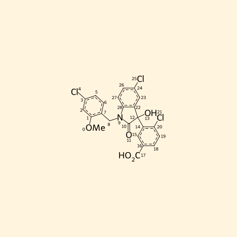 COc1cc(Cl)ccc1CN1C(=O)C(O)(c2cc(C(=O)O)ccc2Cl)c2cc(Cl)ccc21